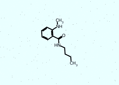 CCCCNC(=O)c1[c]cccc1NC